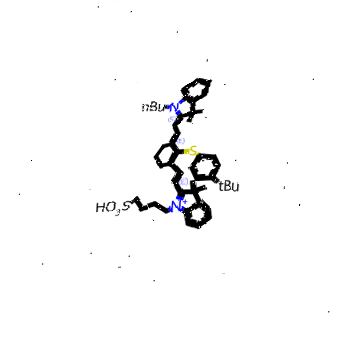 CCCCN1/C(=C/C=C2\CCCC(/C=C/C3=[N+](CCCCS(=O)(=O)O)c4ccccc4C3(C)C)=C2Sc2ccc(C(C)(C)C)cc2)C(C)(C)c2ccccc21